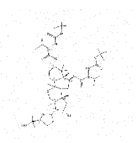 CC(C)[C@H](NC(=O)OC(C)(C)C)C(=O)O[C@H]1CC2C3(CC[C@]4(C)[C@@H](C5CC[C@@H](C(C)(C)O)O5)[C@@H](O)C[C@@]24C)C[C@@]32CC[C@H](OC(=O)[C@@H](NC(=O)OC(C)(C)C)C(C)C)C(C)(C)[C@H]12